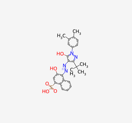 Cc1ccc(-n2nc(C(C)(C)C)c(/N=N/c3c(O)cc(S(=O)(=O)O)c4ccccc34)c2O)cc1C